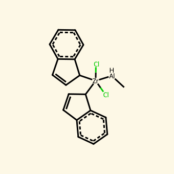 [CH3][AlH][Zr]([Cl])([Cl])([CH]1C=Cc2ccccc21)[CH]1C=Cc2ccccc21